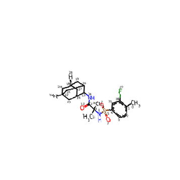 Cc1ccc(S(=O)(=O)NC(C)(C)C(=O)NC2C3C[C@H]4CC2C[C@H](C3)C4)cc1F